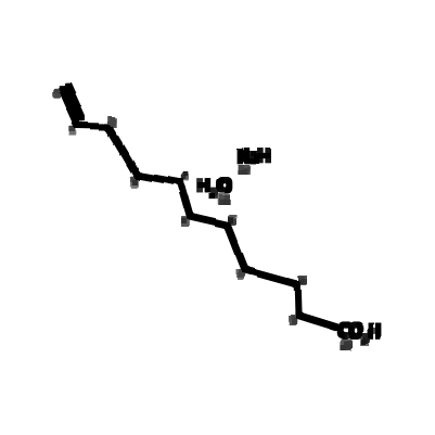 C=CCCCCCCCCC(=O)O.O.[NaH]